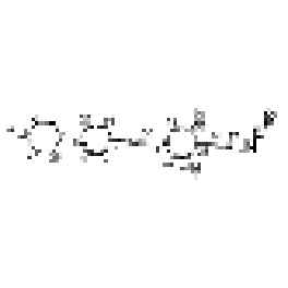 CC1CCC(c2ccc(C#Cc3cc(F)c(C#CN=C=S)c(F)c3)cc2)CC1